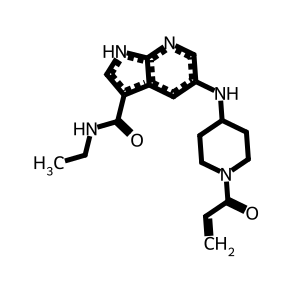 C=CC(=O)N1CCC(Nc2cnc3[nH]cc(C(=O)NCC)c3c2)CC1